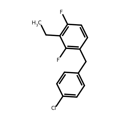 CCc1c(F)ccc(Cc2ccc(Cl)cc2)c1F